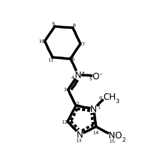 Cn1c(C=[N+]([O-])C2CCCCC2)cnc1[N+](=O)[O-]